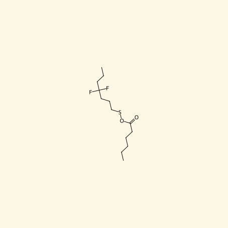 CCCCCC(=O)OSCCCC(F)(F)CCC